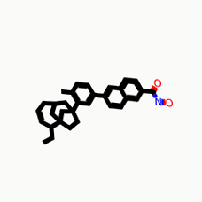 CCC1C=CCC2CC3(c4cc(-c5ccc6c(c5)=C=C=C(C(=O)N=O)C=6)ccc4C)CCC1(C2)C3